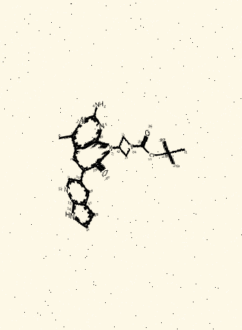 Cc1nc(N)nc2c1cc(-c1cnc3[nH]ccc3c1)c(=O)n2C1CN(C(=O)OC(C)(C)C)C1